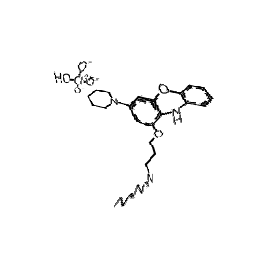 [N-]=[N+]=NCCCOc1cc(N2CCCCC2)cc2c1Nc1ccccc1O2.[O-][Cl+3]([O-])([O-])O